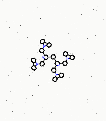 c1cc(-c2cc(-c3cccc(-n4c5ccccc5c5ccccc54)c3)nc(-c3cccc(-n4c5ccccc5c5ccccc54)c3)c2)cc(-c2cc(-c3cccc(-n4c5ccccc5c5ccccc54)c3)nc(-c3cccc(-n4c5ccccc5c5ccccc54)c3)c2)c1